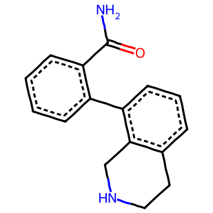 NC(=O)c1ccccc1-c1cccc2c1CNCC2